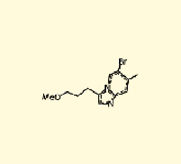 COCCCc1cnc2cc(C)c(Br)cn12